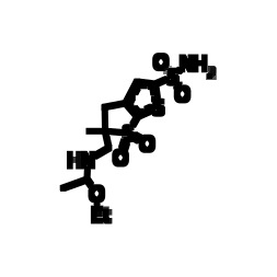 CCOC(C)NCC1(C)Cc2cc(S(N)(=O)=O)sc2S1(=O)=O